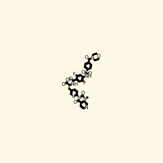 Cn1c(=O)n(-c2ccc(C[C@H](NC(=O)c3cc(F)c(NS(=O)(=O)c4ccc(C(=O)N5CCOCC5)cc4)cc3F)C(=O)O)cn2)c(=O)c2ccncc21